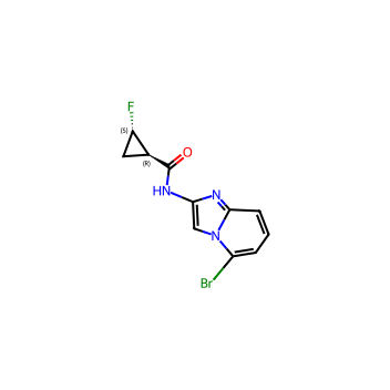 O=C(Nc1cn2c(Br)cccc2n1)[C@H]1C[C@@H]1F